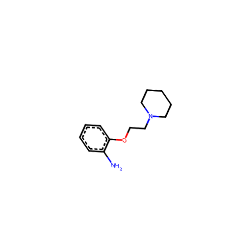 Nc1ccccc1OCCN1CCCCC1